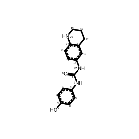 O=C(Nc1ccc(O)cc1)Nc1ccc2c(c1)CCCN2